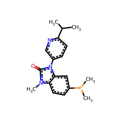 CC(C)c1ccc(-n2c(=O)n(C)c3ccc(P(C)C)cc32)cn1